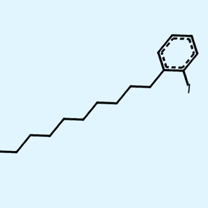 BrCCCCCCCCCc1ccccc1I